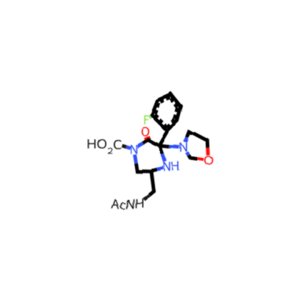 CC(=O)NCC1CN(C(=O)O)C(=O)C(c2ccccc2F)(N2CCOC2)N1